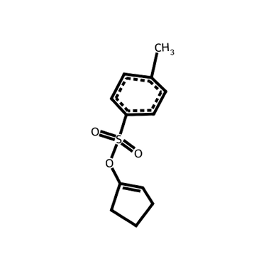 Cc1ccc(S(=O)(=O)OC2=CCCC2)cc1